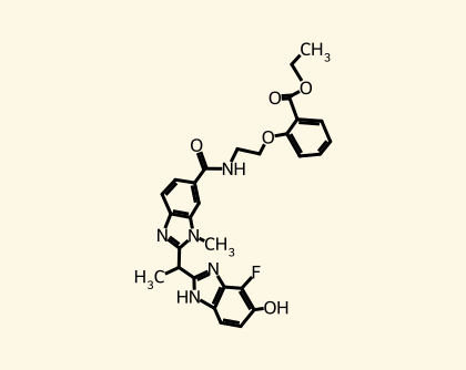 CCOC(=O)c1ccccc1OCCNC(=O)c1ccc2nc(C(C)c3nc4c(F)c(O)ccc4[nH]3)n(C)c2c1